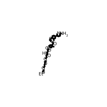 CCOCCOCCOCCOCCC(=O)NCCS(=O)(=O)c1ccc(C(=O)N2CCOc3ccc(-c4ccc(N)nc4)cc3C2)c(C)c1